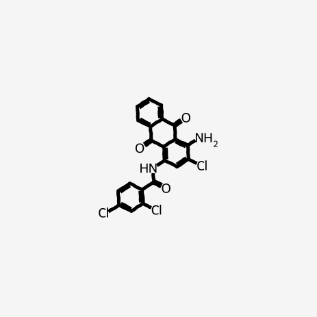 Nc1c(Cl)cc(NC(=O)c2ccc(Cl)cc2Cl)c2c1C(=O)c1ccccc1C2=O